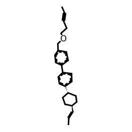 CC#CCCOCc1ccc(-c2ccc([C@H]3CC[C@H](C=CC)CC3)cc2)cc1